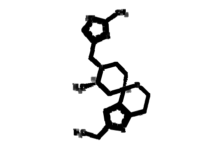 CCc1cc2c(s1)CCO[C@@]21CCN(Cc2c[nH]c(C)n2)[C@@H](C)C1